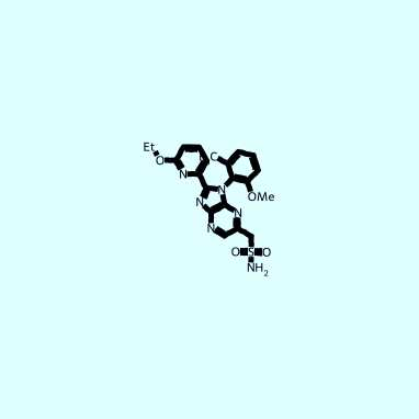 CCOc1cccc(-c2nc3ncc(CS(N)(=O)=O)nc3n2-c2c(OC)cccc2C(F)(F)F)n1